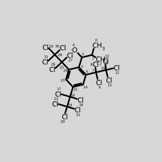 CC(C)C([O])c1c(C(Cl)(Cl)C(Cl)(Cl)Cl)cc(C(Cl)(Cl)C(Cl)(Cl)Cl)cc1C(Cl)(Cl)C(Cl)(Cl)Cl